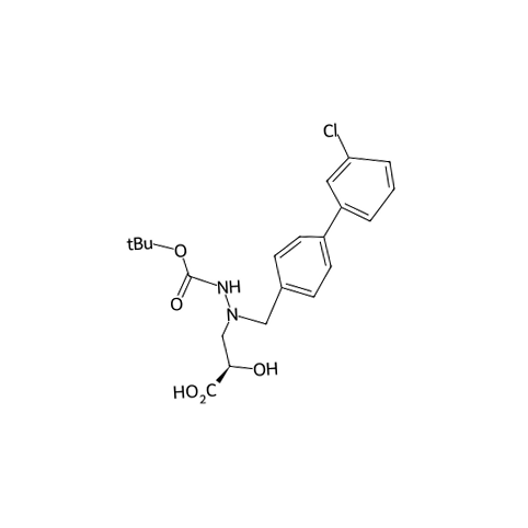 CC(C)(C)OC(=O)NN(Cc1ccc(-c2cccc(Cl)c2)cc1)C[C@@H](O)C(=O)O